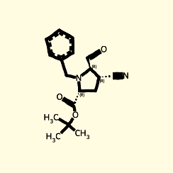 CC(C)(C)OC(=O)[C@H]1C[C@@H](C#N)[C@H](C=O)N1Cc1ccccc1